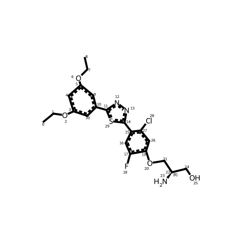 CCOc1cc(OCC)cc(-c2nnc(-c3cc(F)c(OC[C@H](N)CO)cc3Cl)s2)c1